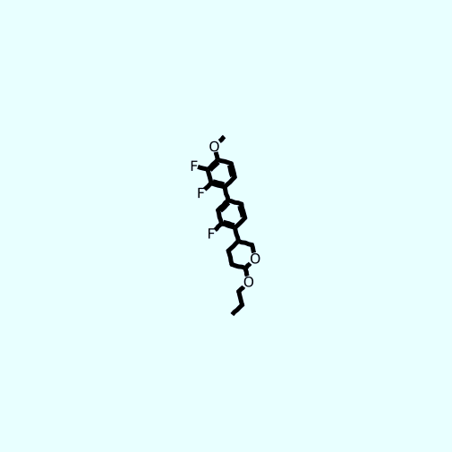 CCCOC1CCC(c2ccc(-c3ccc(OC)c(F)c3F)cc2F)CO1